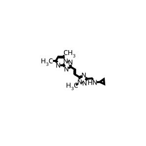 Cc1cc(C)n2nc(C=Cc3nc(CNC4CC4)nn3C)nc2n1